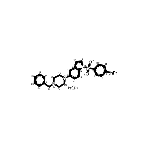 CCCc1ccc(S(=O)(=O)n2ccc3cc(N4CCN(Cc5ccccc5)CC4)ccc32)cc1.Cl